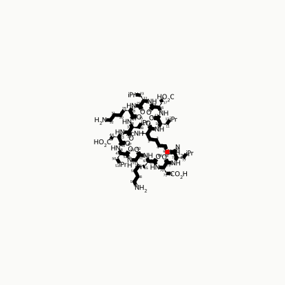 CC(=O)N[C@@H](CCCCN)C(=O)N[C@@H](CC(C)C)C(=O)N[C@@H](CC(=O)O)C(=O)N[C@@H](CC(C)C)C(=O)N[C@@H](CCCCN)C(=O)N[C@@H](CC(C)C)C(=O)N[C@@H](CC(=O)O)C(=O)N[C@@H](CC(C)C)C(=O)N[C@@H](CCCCN)C(=O)N[C@@H](CC(C)C)C(=O)N[C@@H](CC(=O)O)C(=O)N[C@@H](CC(C)C)C(N)=O